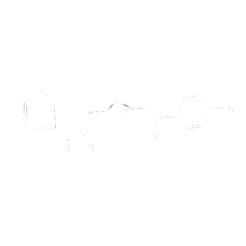 C=NN(CC12CC(C(=O)N3N=CCC3c3cnc(C)nc3)(C1)C2)c1ccc(C#N)cc1C